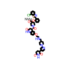 CNC(=O)C1(Oc2ccccc2-c2nc3cccc(Cl)c3s2)CCN(C(=O)[C@H]2CC(=O)Nc3ccc(OCCNCC4CCN(c5cc(C6CCC(=O)NC6=O)ccn5)CC4)cc32)CC1